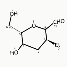 CC[C@H]1CC(O)[C@H](CO)OC1C=O